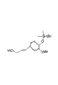 COc1cc(/C=C/CO)ccc1O[Si](C)(C)C(C)(C)C